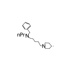 CCCN(CCCCCN1CC[CH]CC1)Cc1ccccc1